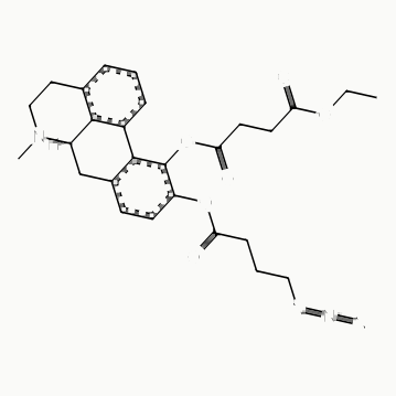 CCOC(=O)CCC(=O)Oc1c(OC(=O)CCCN=[N+]=[N-])ccc2c1-c1cccc3c1[C@@H](C2)N(C)CC3